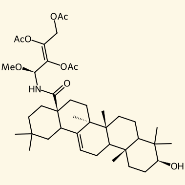 CO[C@H](NC(=O)[C@]12CCC(C)(C)CC1C1=CCC3[C@@]4(C)CC[C@H](O)C(C)(C)C4CC[C@@]3(C)[C@]1(C)CC2)/C(OC(C)=O)=C(/COC(C)=O)OC(C)=O